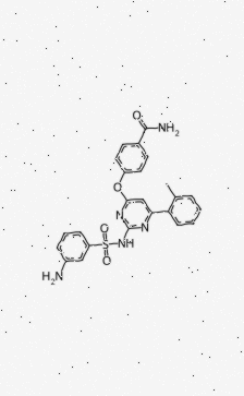 Cc1ccccc1-c1cc(Oc2ccc(C(N)=O)cc2)nc(NS(=O)(=O)c2cccc(N)c2)n1